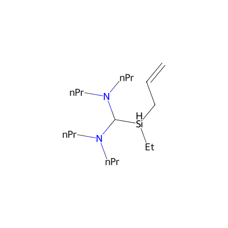 C=CC[SiH](CC)C(N(CCC)CCC)N(CCC)CCC